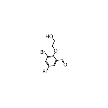 O=Cc1cc(Br)cc(Br)c1OCCO